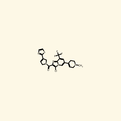 CN1CC=C(c2cc(C(F)(F)F)c3nc(C(=O)N4CC=C(c5nccs5)C4)c(Cl)n3c2)CC1